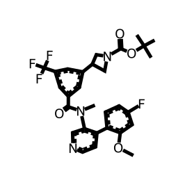 COc1cc(F)ccc1-c1ccncc1N(C)C(=O)c1cc(C2CN(C(=O)OC(C)(C)C)C2)cc(C(F)(F)F)c1